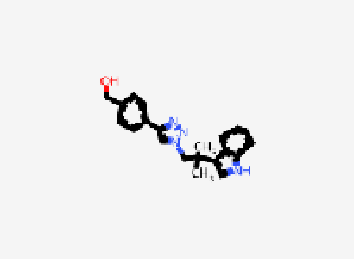 CC(C)(Cn1cc(-c2ccc(CO)cc2)nn1)c1c[nH]c2ccccc12